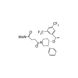 CNC(=O)CCC(=O)N1CC[C@H](O[C@H](C)c2cc(C(F)(F)F)cc(C(F)(F)F)c2)[C@H](c2ccccc2)C1